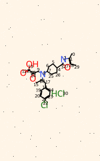 Cc1nc(C2CCC(N3C[C@H](C(=O)O)OC[C@@H]3Cc3ccc(Cl)cc3)CC2)oc1C.Cl